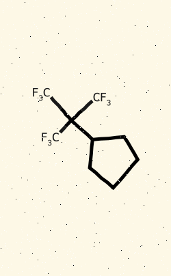 FC(F)(F)C(C1CCCC1)(C(F)(F)F)C(F)(F)F